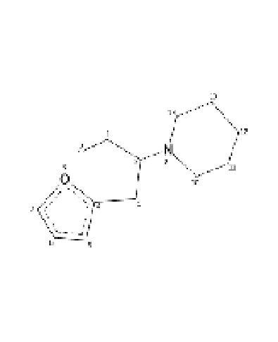 [CH2]CC(Cc1ccco1)N1CCCCC1